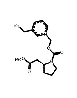 COC(=O)C[C@@H]1CCCN1C(=O)OC[n+]1cccc(CC(C)C)c1